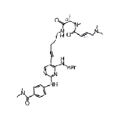 CCCNc1nc(Nc2ccc(C(=O)N(C)C)cc2)ncc1C#CCCCNC(=O)[C@H](C)N(C)C(=O)/C=C/CN(C)C